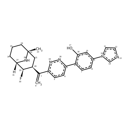 C=C(c1ccc(-c2ccc(-n3ccnc3)cc2O)nn1)[C@@H]1C[C@@]2(C)CCC[C@H](N2)[C@@H]1F